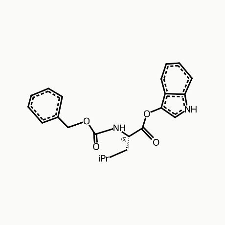 CC(C)C[C@H](NC(=O)OCc1ccccc1)C(=O)Oc1c[nH]c2ccccc12